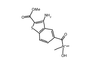 COC(=O)c1sc2ccc(C(=O)[N+](C)(C)O)cc2c1N